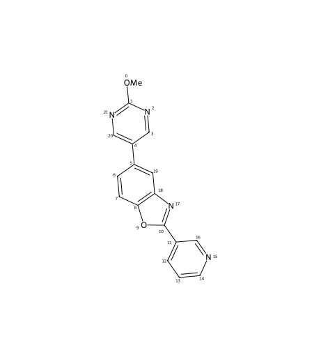 COc1ncc(-c2ccc3oc(-c4cccnc4)nc3c2)cn1